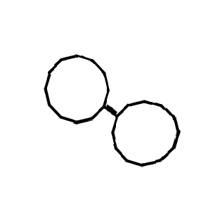 C1CCCCCC(=C2CCCCCCCCCCC2)CCCCC1